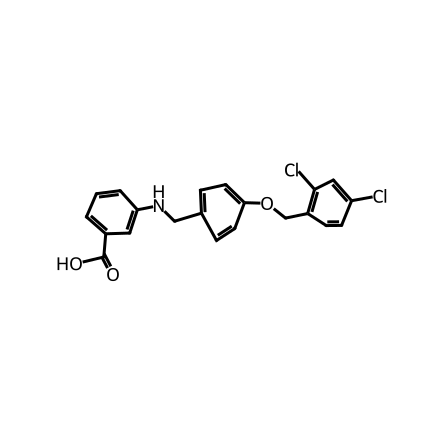 O=C(O)c1cccc(NCc2ccc(OCc3ccc(Cl)cc3Cl)cc2)c1